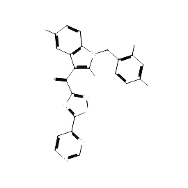 O=C(c1noc(-c2ccncn2)n1)c1c(Cl)n(Cc2ccc(Cl)cc2Cl)c2ccc(O)cc12